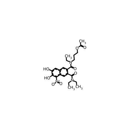 CCN(CC)C(=O)c1cc2c([N+](=O)[O-])c(O)c(O)cc2cc1C(=O)N(CC)CCCOC(C)=O